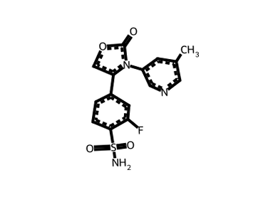 Cc1cncc(-n2c(-c3ccc(S(N)(=O)=O)c(F)c3)coc2=O)c1